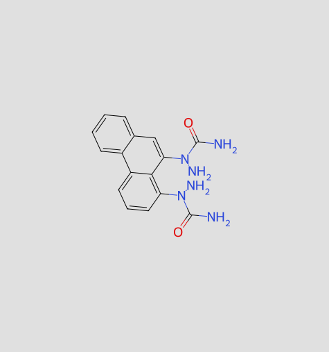 NC(=O)N(N)c1cccc2c1c(N(N)C(N)=O)cc1ccccc12